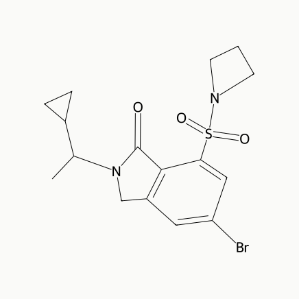 CC(C1CC1)N1Cc2cc(Br)cc(S(=O)(=O)N3CCC3)c2C1=O